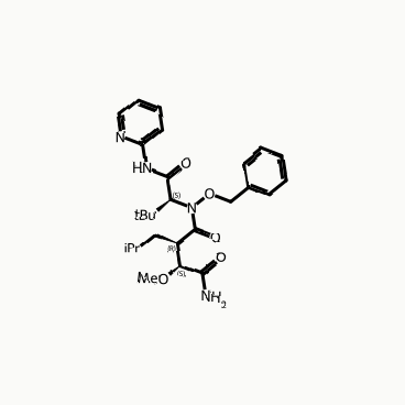 CO[C@H](C(N)=O)[C@@H](CC(C)C)C(=O)N(OCc1ccccc1)[C@H](C(=O)Nc1ccccn1)C(C)(C)C